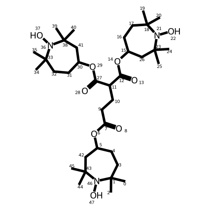 CC1(C)CCC(OC(=O)CCC(C(=O)OC2CCC(C)(C)N(O)C(C)(C)C2)C(=O)OC2CCC(C)(C)N(O)C(C)(C)C2)CC(C)(C)N1O